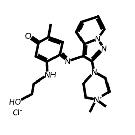 CC1=CC(=Nc2c(N3CC[N+](C)(C)CC3)nn3ccccc23)C(NCCO)=CC1=O.[Cl-]